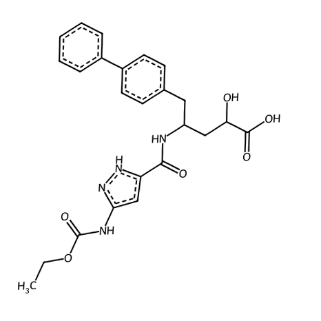 CCOC(=O)Nc1cc(C(=O)NC(Cc2ccc(-c3ccccc3)cc2)CC(O)C(=O)O)[nH]n1